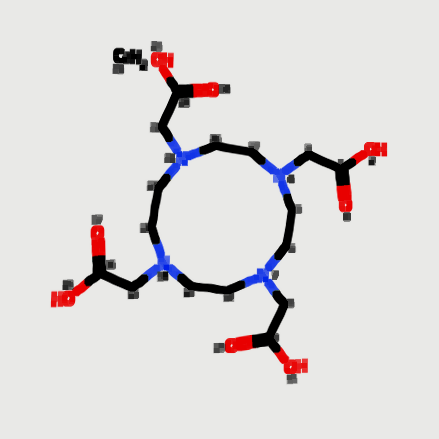 O=C(O)CN1CCN(CC(=O)O)CCN(CC(=O)O)CCN(CC(=O)O)CC1.[CaH2]